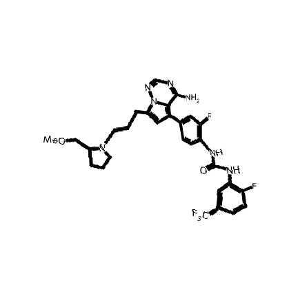 COCC1CCCN1CCCc1cc(-c2ccc(NC(=O)Nc3cc(C(F)(F)F)ccc3F)c(F)c2)c2c(N)ncnn12